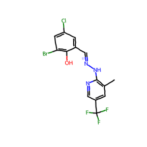 Cc1cc(C(F)(F)F)cnc1N/N=C/c1cc(Cl)cc(Br)c1O